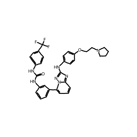 O=C(Nc1ccc(C(F)(F)F)cc1)Nc1cccc(-c2cccc3nc(Nc4ccc(OCCN5CCCC5)cc4)nn23)c1